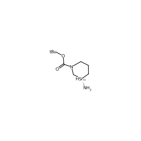 CC(C)(C)OC(=O)N1CCC[Si@H](N)C1